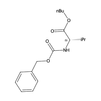 CCCCOC(=O)[C@@H](NC(=O)OCc1ccccc1)C(C)C